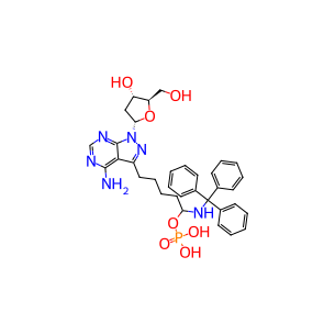 Nc1ncnc2c1c(CCCCC(NC(c1ccccc1)(c1ccccc1)c1ccccc1)OP(=O)(O)O)nn2[C@@H]1C[C@H](O)[C@@H](CO)O1